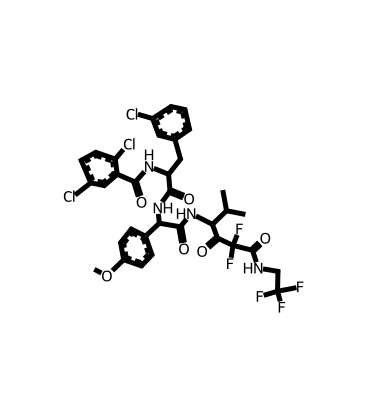 COc1ccc(C(NC(=O)C(Cc2cccc(Cl)c2)NC(=O)c2cc(Cl)ccc2Cl)C(=O)NC(C(=O)C(F)(F)C(=O)NCC(F)(F)F)C(C)C)cc1